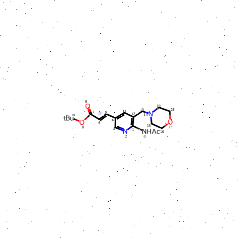 CC(=O)Nc1ncc(/C=C/C(=O)OC(C)(C)C)cc1CN1CCOCC1